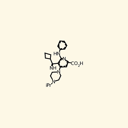 CC(C)N1CCN(c2cc(C(=O)O)nc(Nc3ccccc3)c2C(=N)C2CCC2)CC1